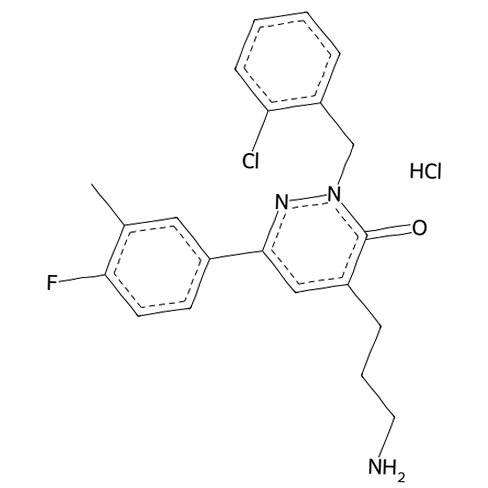 Cc1cc(-c2cc(CCCN)c(=O)n(Cc3ccccc3Cl)n2)ccc1F.Cl